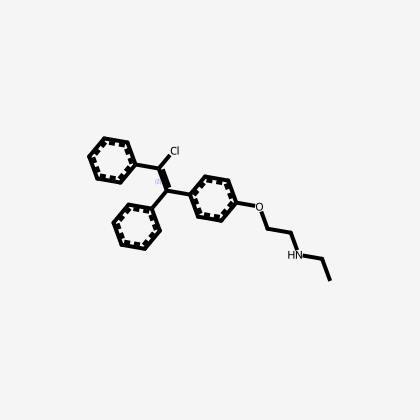 CCNCCOc1ccc(/C(=C(\Cl)c2ccccc2)c2ccccc2)cc1